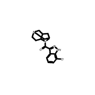 O=C(c1n[nH]c2c(Cl)cccc12)N1C2CC3CN(CCC31)C2